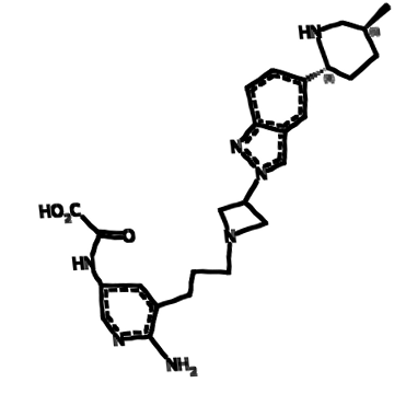 C[C@H]1CC[C@H](c2ccc3nn(C4CN(CCCc5cc(NC(=O)C(=O)O)cnc5N)C4)cc3c2)NC1